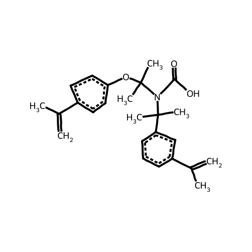 C=C(C)c1ccc(OC(C)(C)N(C(=O)O)C(C)(C)c2cccc(C(=C)C)c2)cc1